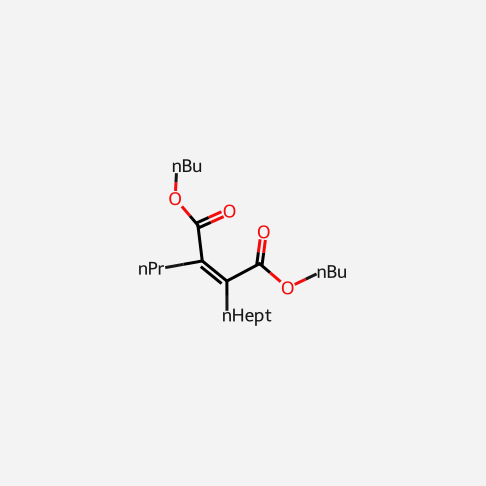 CCCCCCC/C(C(=O)OCCCC)=C(\CCC)C(=O)OCCCC